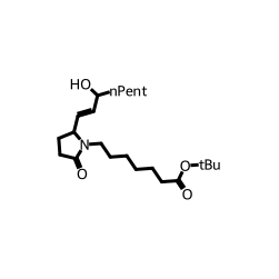 CCCCCC(O)C=CC1CCC(=O)N1CCCCCCC(=O)OC(C)(C)C